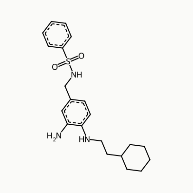 Nc1cc(CNS(=O)(=O)c2ccccc2)ccc1NCCC1CCCCC1